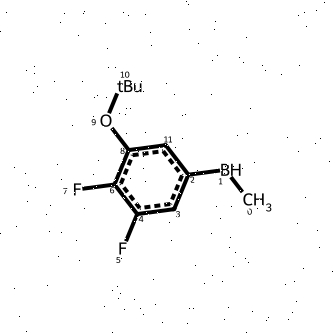 CBc1cc(F)c(F)c(OC(C)(C)C)c1